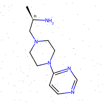 C[C@@H](N)CN1CCN(c2ccncn2)CC1